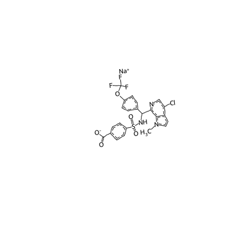 Cn1ccc2c(Cl)cnc(C(NS(=O)(=O)c3ccc(C(=O)[O-])cc3)c3ccc(OC(F)(F)F)cc3)c21.[Na+]